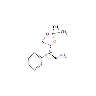 CC1(C)OCC([C@@H](CN)c2ccccc2)O1